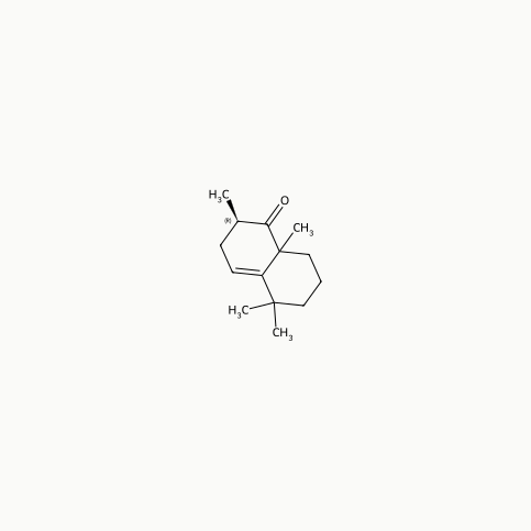 C[C@@H]1CC=C2C(C)(C)CCCC2(C)C1=O